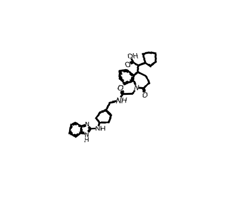 O=C(CN1C(=O)CCC(C(C(=O)O)C2CCCCC2)c2ccccc21)NCC1CCC(Nc2nc3ccccc3[nH]2)CC1